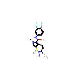 Cn1cc2c(c1C(=O)Nc1ccc(F)c(F)c1)C=CC(C(F)(F)F)N[S+]2[O-]